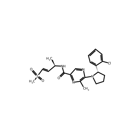 Cc1nc(C(=O)N[C@H](C)/C=C/S(C)(=O)=O)cnc1N1CCC[C@H]1c1ccccc1Cl